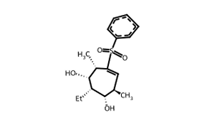 CC[C@H]1[C@@H](O)[C@H](C)C=C(S(=O)(=O)c2ccccc2)[C@@H](C)[C@H]1O